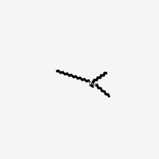 CCCCCCCCCCCCCCCCn1cc[n+](CCCCCCCC)c1CCCCCCCC